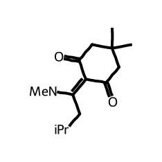 CNC(CC(C)C)=C1C(=O)CC(C)(C)CC1=O